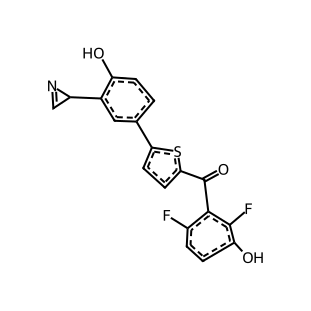 O=C(c1ccc(-c2ccc(O)c(C3C=N3)c2)s1)c1c(F)ccc(O)c1F